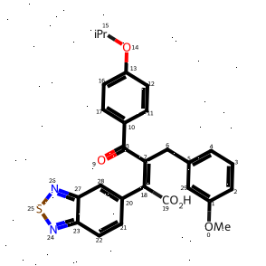 COc1cccc(CC(C(=O)c2ccc(OC(C)C)cc2)=C(C(=O)O)c2ccc3nsnc3c2)c1